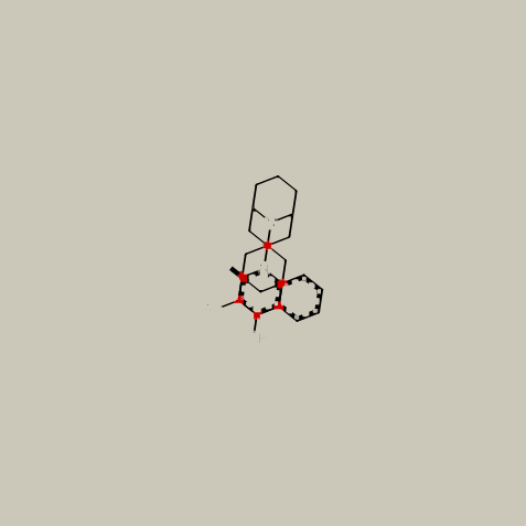 CC(=O)c1nc2ccccc2n(C2CC3CCCC(C2)N3C2CC3CC(C)CC(C3)C2)c1=O